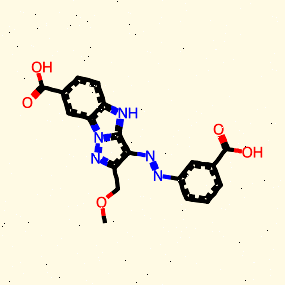 COCc1nn2c([nH]c3ccc(C(=O)O)cc32)c1/N=N/c1cccc(C(=O)O)c1